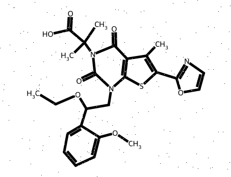 CCOC(Cn1c(=O)n(C(C)(C)C(=O)O)c(=O)c2c(C)c(-c3ncco3)sc21)c1ccccc1OC